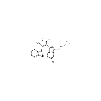 NCCCn1cc(C2=C(c3c[nH]c4ccccc34)C(=O)NC2=O)c2ccc(Cl)cc21